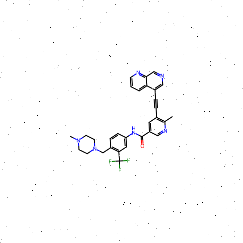 Cc1ncc(C(=O)Nc2ccc(CN3CCN(C)CC3)c(C(F)(F)F)c2)cc1C#Cc1cncc2ncccc12